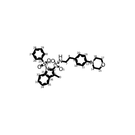 Cc1c(S(=O)(=O)NCCc2ccc(N3CCOCC3)cc2)n(S(=O)(=O)c2ccccc2)c2ccccc12